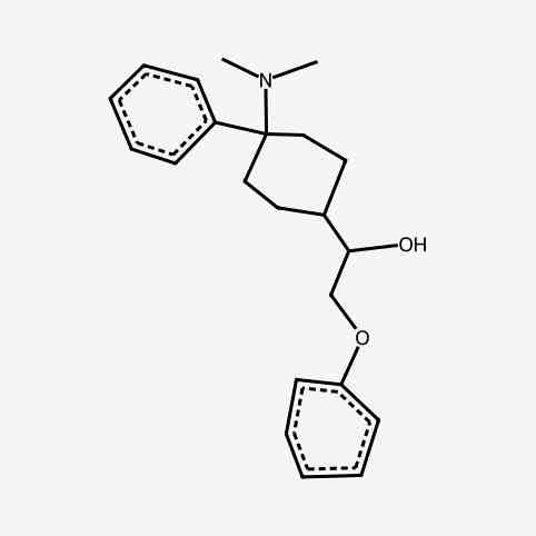 CN(C)C1(c2ccccc2)CCC(C(O)COc2ccccc2)CC1